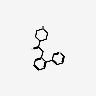 O=C(Cc1ccccc1-c1cccnc1)C1CCNCC1